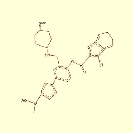 CN[C@H]1CC[C@H](NCc2cc(-c3ccc(N(C)C(C)=O)cc3)ccc2OC(=O)c2sc3c(c2Cl)=CCCC=3)CC1